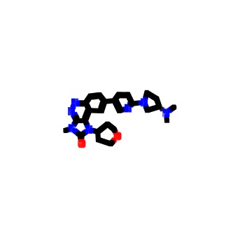 CN(C)[C@H]1CCN(c2ccc(-c3ccc4nnc5c(c4c3)n(C3CCOCC3)c(=O)n5C)cn2)C1